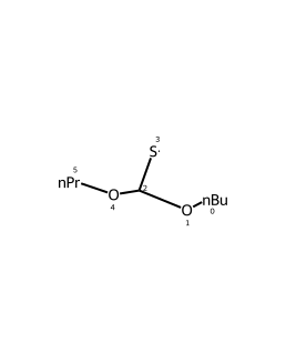 CCCCOC([S])OCCC